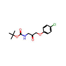 CC(C)(C)OC(=O)NCC(=O)COc1ccc(Cl)cc1